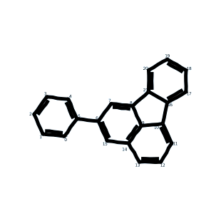 [c]1ccccc1-c1cc2c3c(cccc3c1)-c1ccccc1-2